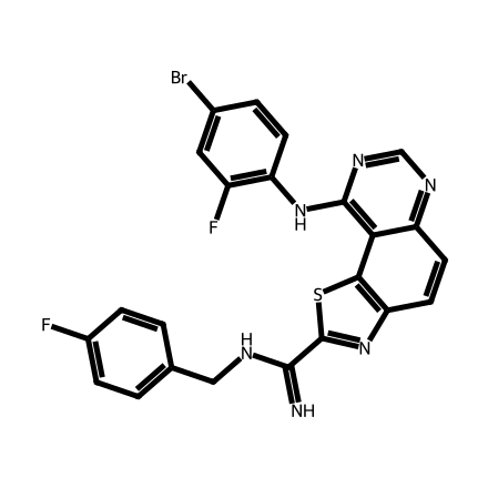 N=C(NCc1ccc(F)cc1)c1nc2ccc3ncnc(Nc4ccc(Br)cc4F)c3c2s1